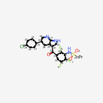 CCCS(=O)(=O)Nc1c(F)c(F)cc(C(=O)c2c[nH]c3ncc(-c4ccc(Cl)cc4)cc23)c1F